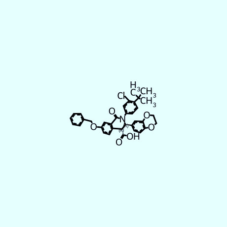 CC(C)(C)c1ccc(N2C(=O)c3cc(OCc4ccccc4)ccc3[C@@H](C(=O)O)[C@@H]2c2ccc3c(c2)OCCO3)cc1Cl